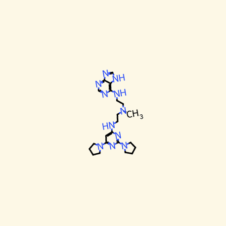 CN(CCNc1cc(N2CCCC2)nc(N2CCCC2)n1)CCNc1ncnc2nc[nH]c12